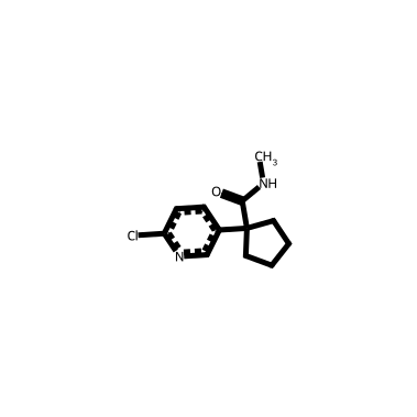 CNC(=O)C1(c2ccc(Cl)nc2)CCCC1